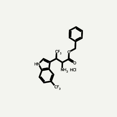 Cl.NC(C(=O)OCc1ccccc1)C(c1c[nH]c2ccc(C(F)(F)F)cc12)C(F)(F)F